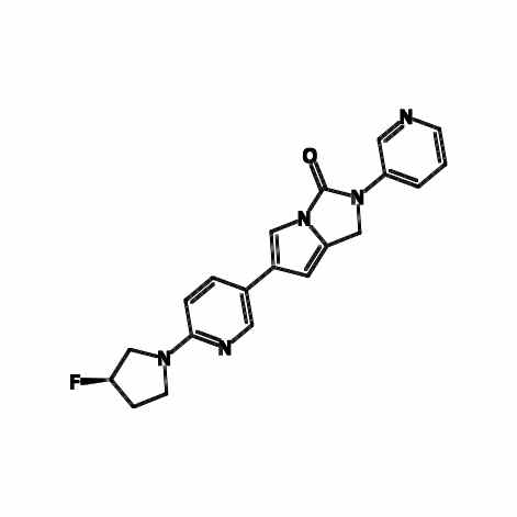 O=C1N(c2cccnc2)Cc2cc(-c3ccc(N4CC[C@@H](F)C4)nc3)cn21